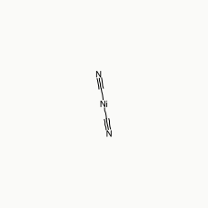 N#[C][Ni][C]#N